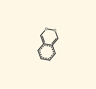 [c]1ccc2c(c1)=COOC=2